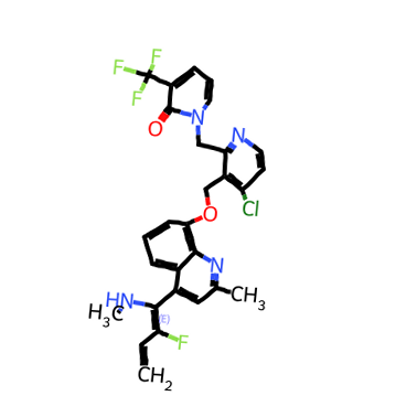 C=C/C(F)=C(\NC)c1cc(C)nc2c(OCc3c(Cl)ccnc3Cn3cccc(C(F)(F)F)c3=O)cccc12